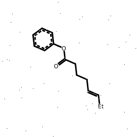 CCC=CCCCC(=O)Oc1ccccc1